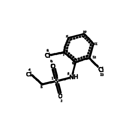 O=S(=O)(CCl)Nc1c(Cl)cccc1Cl